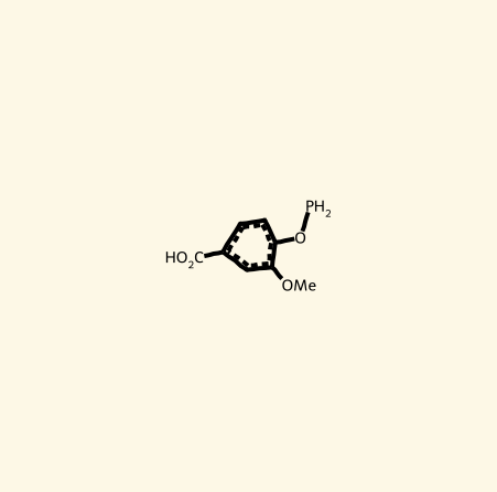 COc1cc(C(=O)O)ccc1OP